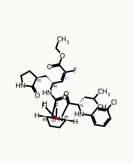 CCOC(=O)/C(F)=C\[C@@H](C[C@@H]1CCNC1=O)NC(=O)[C@@H]1[C@H]2CC[C@H](CC2(F)F)N1C(=O)[C@H](CC(C)C)Nc1cccc(Cl)c1